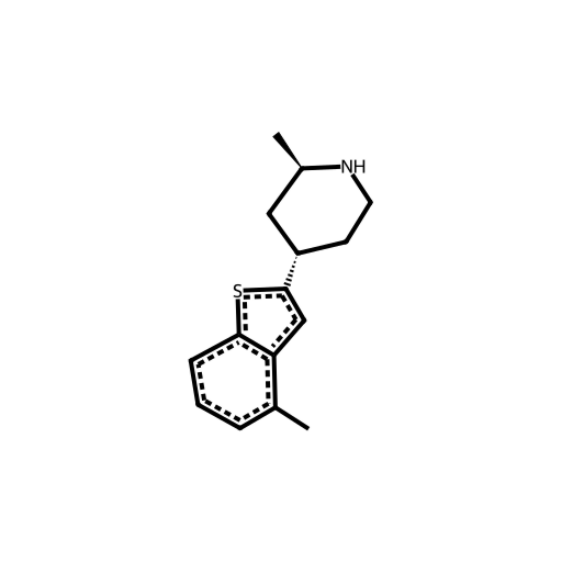 Cc1cccc2sc([C@H]3CCN[C@H](C)C3)cc12